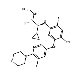 CC[C@H](NC(=O)O)[C@@H](Nc1nc(Nc2cnc(N3CCOCC3)c(F)c2)c(C#N)cc1F)C1CC1